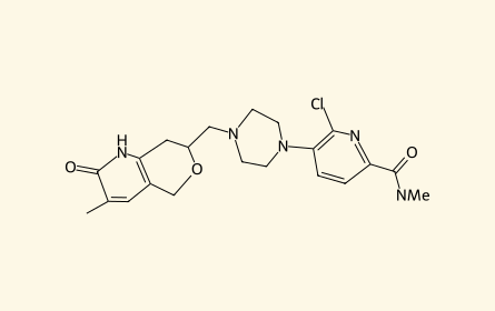 CNC(=O)c1ccc(N2CCN(CC3Cc4[nH]c(=O)c(C)cc4CO3)CC2)c(Cl)n1